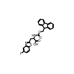 O=C(NC(Cc1nc2cc(F)ccc2s1)C(=O)O)OCC1c2ccccc2-c2ccccc21